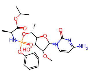 CO[C@@H]1[C@H](O)[C@@H]([C@@H](C)OP(=O)(N[C@@H](C)C(=O)OC(C)C)Oc2ccccc2)O[C@H]1n1ccc(N)nc1=O